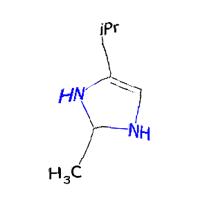 CC1NC=C(C(C)C)N1